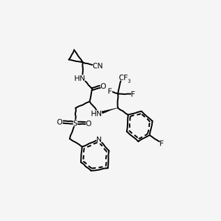 N#CC1(NC(=O)C(CS(=O)(=O)Cc2ccccn2)N[C@H](c2ccc(F)cc2)C(F)(F)C(F)(F)F)CC1